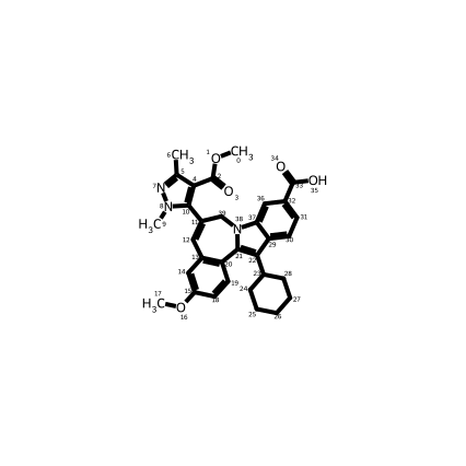 COC(=O)c1c(C)nn(C)c1C1=Cc2cc(OC)ccc2-c2c(C3CCCCC3)c3ccc(C(=O)O)cc3n2C1